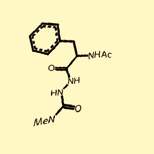 CNC(=O)NNC(=O)C(Cc1ccccc1)NC(C)=O